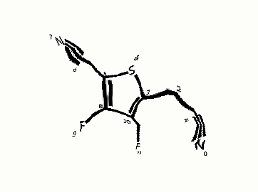 N#CCc1sc(C#N)c(F)c1F